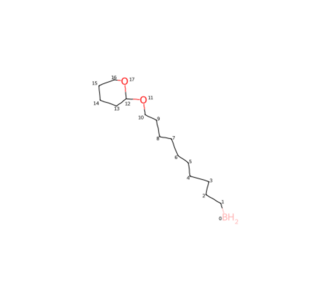 BCCCCCCCCCCOC1CCCCO1